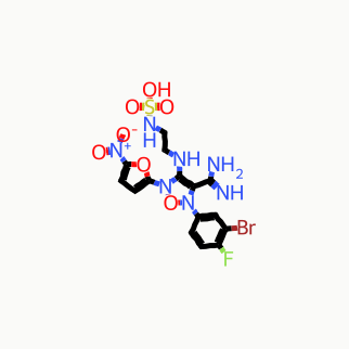 N=C(N)C1=C(NCCNS(=O)(=O)O)N(c2ccc([N+](=O)[O-])o2)ON1c1ccc(F)c(Br)c1